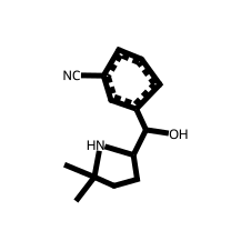 CC1(C)CCC(C(O)c2cccc(C#N)c2)N1